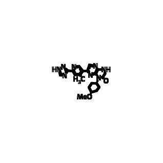 CO[C@H]1CC[C@@H](N2C(=O)CNc3ncc(-c4cnc(-c5nc[nH]n5)cc4C)nc32)CC1